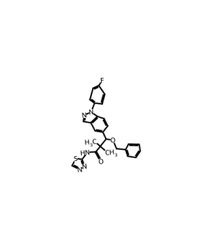 CC(C)(C(=O)Nc1nncs1)C(OCc1ccccc1)c1ccc2c(cnn2-c2ccc(F)cc2)c1